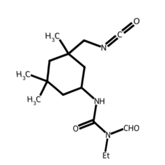 CCN(C=O)C(=O)NC1CC(C)(C)CC(C)(CN=C=O)C1